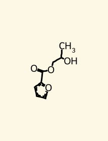 CC(O)COC(=O)c1ccco1